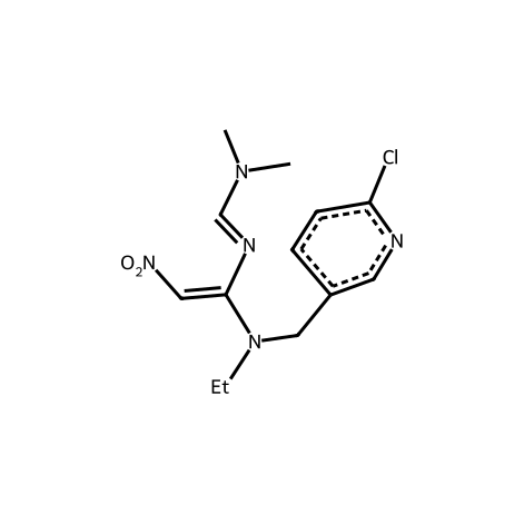 CCN(Cc1ccc(Cl)nc1)C(=C[N+](=O)[O-])N=CN(C)C